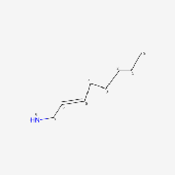 CCCCCC=CC[NH]